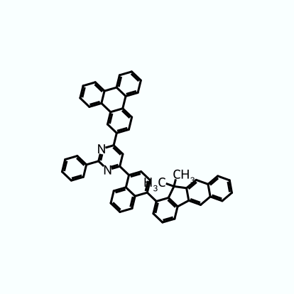 CC1(C)c2cc3ccccc3cc2-c2cccc(-c3ccc(-c4cc(-c5ccc6c7ccccc7c7ccccc7c6c5)nc(-c5ccccc5)n4)c4ccccc34)c21